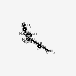 Cc1ncsc1-c1ccc([C@H](C)NC(=O)[C@@H]2C[C@@H](O)CN2C(=O)[C@@H](NC(=O)CCCCCc2cc(F)cc(OCCCCC(N)=O)c2F)C(C)(C)C)cc1